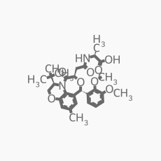 COc1cccc([C@H]2O[C@H](CC(=O)N[C@H](C)C(=O)O)C(=O)N3c4c(cc(C)cc42)OC[C@H]3C(C)(C)C)c1OC